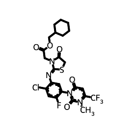 Cn1c(C(F)(F)F)cc(=O)n(-c2cc(N=C3SCC(=O)N3CC(=O)OCC3CCCCC3)c(Cl)cc2F)c1=O